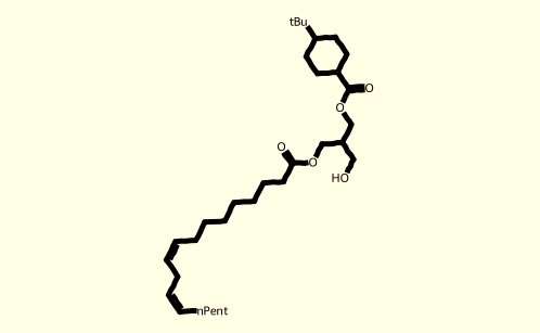 CCCCC/C=C\C/C=C\CCCCCCCC(=O)OCC(CO)COC(=O)C1CCC(C(C)(C)C)CC1